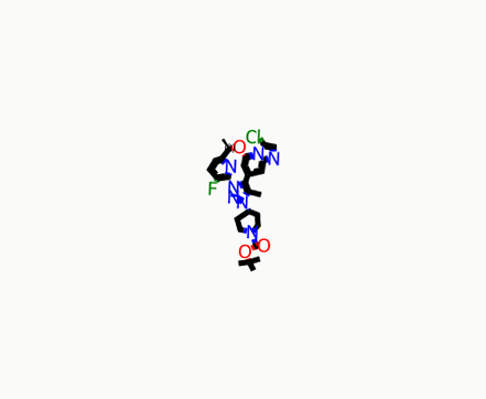 Cc1c(-c2cc(O[C@H](C)c3ccc(F)cn3)n3c(Cl)cnc3c2)nnn1C1CCN(C(=O)OC(C)(C)C)CC1